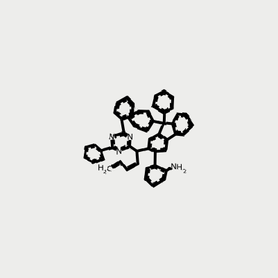 C=C/C=C\C(c1nc(-c2ccccc2)nc(-c2ccccc2)n1)c1cc2c(cc1-c1ccccc1N)-c1ccccc1C2(c1ccccc1)c1ccccc1